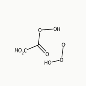 O=C(O)C(=O)OO.[O]OO